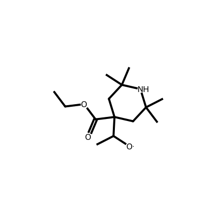 CCOC(=O)C1(C(C)[O])CC(C)(C)NC(C)(C)C1